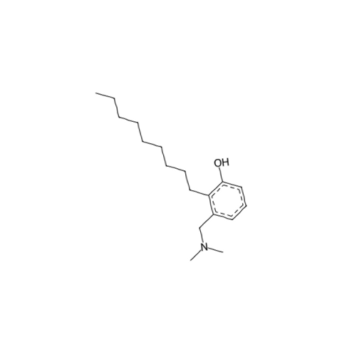 CCCCCCCCCc1c(O)cccc1CN(C)C